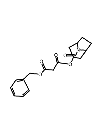 O=CN1C2CCC1CC(OC(=O)CC(=O)OCc1ccccc1)C2